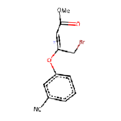 COC(=O)/C=C(\CBr)Oc1cccc(C#N)c1